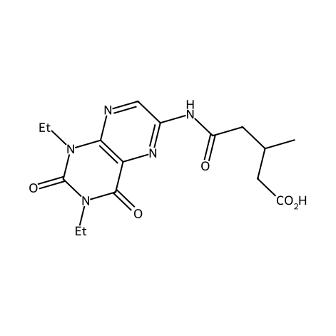 CCn1c(=O)c2nc(NC(=O)CC(C)CC(=O)O)cnc2n(CC)c1=O